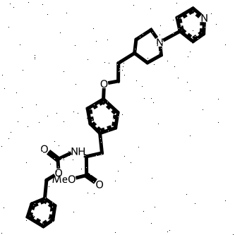 COC(=O)C(Cc1ccc(OCCC2CCN(c3ccncc3)CC2)cc1)NC(=O)OCc1ccccc1